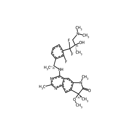 CO[C@@]1(C)C(=O)N(C)c2cc3c(N[C@H](C)c4cccc(C(F)(F)[C@](C)(O)CN(C)C)c4F)nc(C)nc3cc21